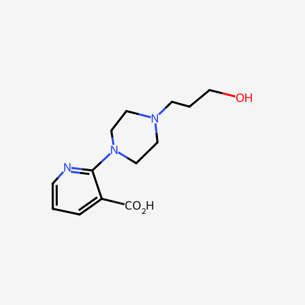 O=C(O)c1cccnc1N1CCN(CCCO)CC1